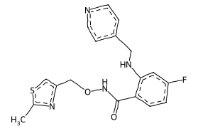 Cc1nc(CONC(=O)c2ccc(F)cc2NCc2ccncc2)cs1